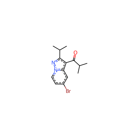 CC(C)C(=O)c1c(C(C)C)nn2ccc(Br)cc12